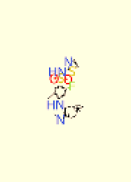 Cc1cc(S(=O)(=O)Nc2nccs2)c(F)cc1NC1C[C@@H](C)CC[C@H]1N(C)C